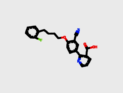 N#Cc1cc(-c2ncccc2C(=O)O)ccc1OCCCCc1ccccc1F